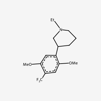 CCN1CCCC(c2cc(OC)c(C(F)(F)F)cc2OC)C1